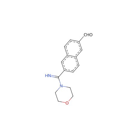 N=C(c1ccc2cc(C=O)ccc2c1)N1CCOCC1